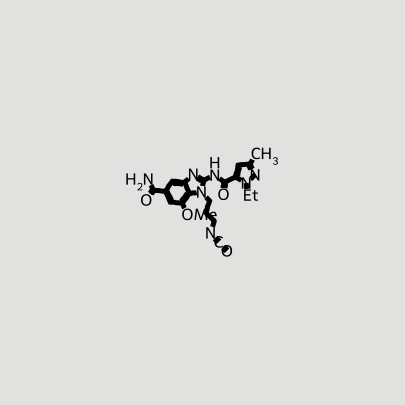 CCn1nc(C)cc1C(=O)Nc1nc2cc(C(N)=O)cc(OC)c2n1CCCN=C=O